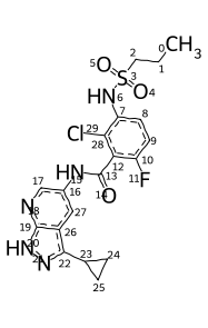 CCCS(=O)(=O)Nc1ccc(F)c(C(=O)Nc2cnc3[nH]nc(C4CC4)c3c2)c1Cl